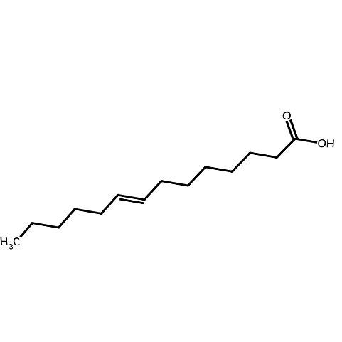 CCCCCC=CCCCCCCC(=O)O